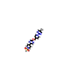 CCc1cnc(N2CCC(COc3cnc(C4CCN(S(C)(=O)=O)CC4)cn3)CC2)nc1